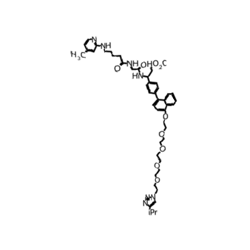 Cc1ccnc(NCCCCC(=O)NCC(=O)NC(CC(=O)O)c2ccc(-c3ccc(OCCOCCOCCOCCOCCn4cc(C(C)C)nn4)c4ccccc34)cc2)c1